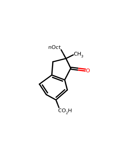 CCCCCCCCC1(C)Cc2ccc(C(=O)O)cc2C1=O